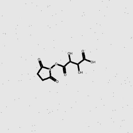 O=C(O)C(O)C(O)C(=O)ON1C(=O)CCC1=O